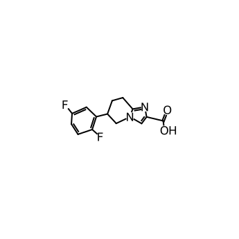 O=C(O)c1cn2c(n1)CCC(c1cc(F)ccc1F)C2